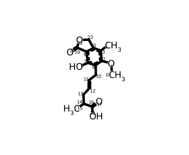 COc1c(C)c2c(c(O)c1CC=CCC(C)C(=O)O)C(=O)OC2